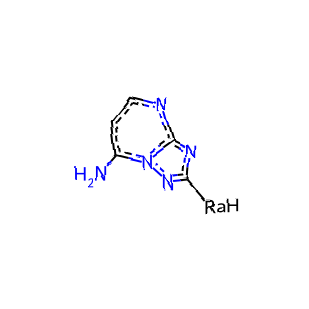 Nc1ccnc2n[c]([RaH])nn12